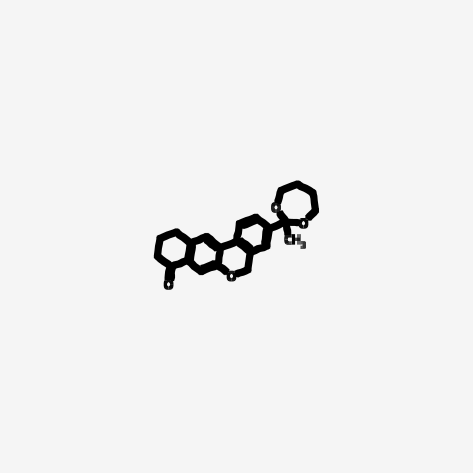 CC1(c2ccc3c(c2)COc2cc4c(cc2-3)CCCC4=O)OCCCCO1